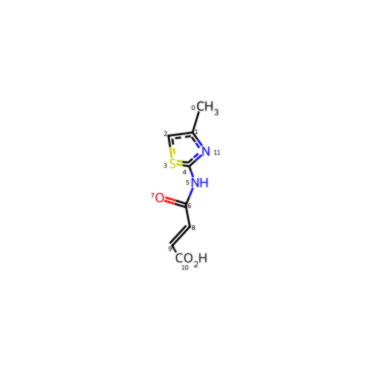 Cc1csc(NC(=O)/C=C/C(=O)O)n1